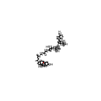 CC(CCC(=O)SCCNC(=O)CCNC(=O)C(O)C(C)(C)COP(=O)(O)OP(=O)(O)OC[C@H]1O[C@@H](n2cnc3c(N)ncnc32)[C@H](O)[C@@H]1OP(=O)(O)O)[C@H]1CC[C@H]2[C@@H]3[C@@H](O)C[C@@H]4C[C@H](O)CC[C@]4(C)[C@H]3CC[C@]12C